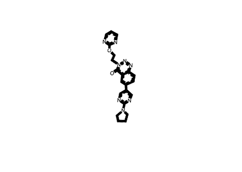 O=c1c2cc(-c3cnc(N4CCCC4)nc3)ccc2nnn1CCOc1ncccn1